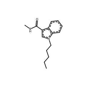 CBC(=O)c1cn(CCCCC)c2ccccc12